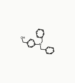 OCc1ccc(N(Cc2ccccc2)Cc2ccccc2)cc1